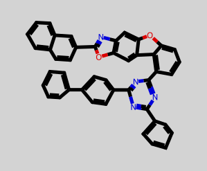 c1ccc(-c2ccc(-c3nc(-c4ccccc4)nc(-c4cccc5oc6cc7nc(-c8ccc9ccccc9c8)oc7cc6c45)n3)cc2)cc1